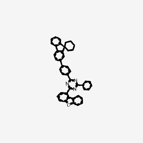 c1ccc(-c2nc(-c3ccc(-c4ccc5c(c4)C4(CCCCC4)c4ccccc4-5)cc3)nc(-c3cccc4oc5ccccc5c34)n2)cc1